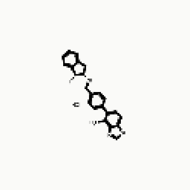 Cc1c(-c2ccc(CN[C@H]3Cc4ccccc4[C@H]3F)cc2)ccc2[nH]cnc12.Cl